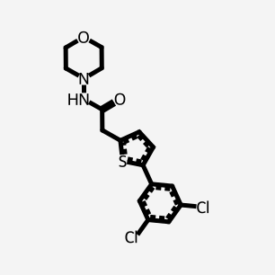 O=C(Cc1ccc(-c2cc(Cl)cc(Cl)c2)s1)NN1CCOCC1